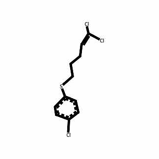 ClC(Cl)=CCCCSc1ccc(Cl)cc1